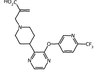 C=C(CN1CCC(c2nccnc2Oc2ccc(C(F)(F)F)nc2)CC1)C(=O)O